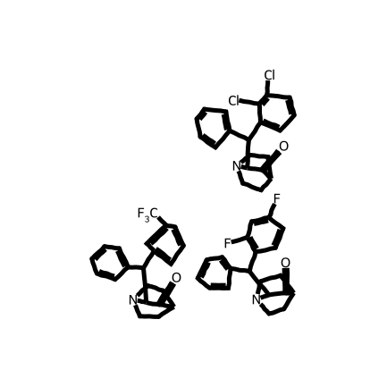 O=C1C2CCN(CC2)C1C(c1ccccc1)c1ccc(F)cc1F.O=C1C2CCN(CC2)C1C(c1ccccc1)c1cccc(C(F)(F)F)c1.O=C1C2CCN(CC2)C1C(c1ccccc1)c1cccc(Cl)c1Cl